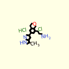 Cc1c[nH]c2ncc(-c3cc4c(c(C(Cl)CCN)c3)COCC4)cc12.Cl